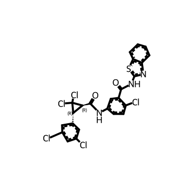 O=C(Nc1nc2ccccc2s1)c1cc(NC(=O)[C@H]2[C@H](c3cc(Cl)cc(Cl)c3)C2(Cl)Cl)ccc1Cl